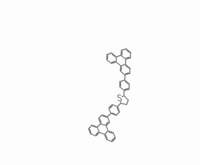 c1ccc2c(c1)c1ccccc1c1cc(-c3ccc(C4CCC(c5ccc(-c6ccc7c8ccccc8c8ccccc8c7c6)cc5)S4)cc3)ccc21